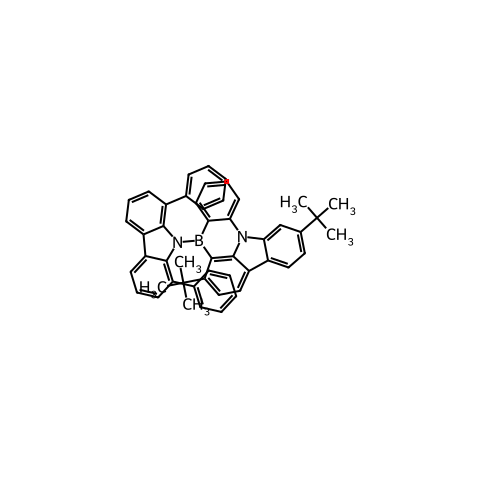 CC(C)(C)c1ccc2c3ccc(C(C)(C)C)c4c3n(c2c1)-c1ccccc1B4n1c2c(-c3ccccc3)cccc2c2cccc(-c3ccccc3)c21